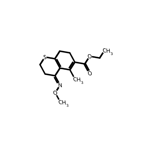 CCOC(=O)C1=C(C)C2=C(CC1)SCCC2=NOC